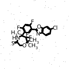 CC1(C)OCC(=S)N[C@](C)(c2cc(-c3nc4ccc(Cl)cc4o3)c(F)cc2F)C1(F)F